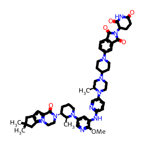 COc1ncc(N2CCC[C@@H](N3CCn4c(cc5c4CC(C)(C)C5)C3=O)[C@@H]2C)cc1Nc1ccc(N2CCN(C3CCN(c4ccc5c(c4)C(=O)N(C4CCC(=O)NC4=O)C5=O)CC3)C[C@@H]2C)cn1